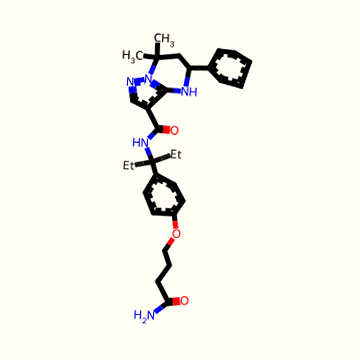 CCC(CC)(NC(=O)c1cnn2c1NC(c1ccccc1)CC2(C)C)c1ccc(OCCCC(N)=O)cc1